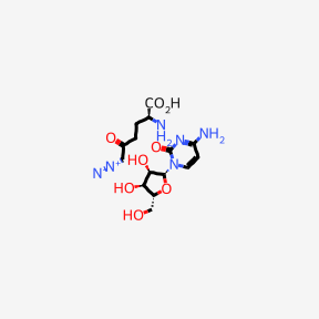 Nc1ccn([C@@H]2O[C@H](CO)[C@@H](O)[C@H]2O)c(=O)n1.[N-]=[N+]=CC(=O)CC[C@H](N)C(=O)O